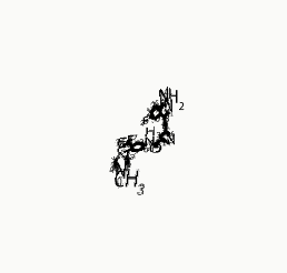 CN1CCN(Cc2ccc(NC(=O)c3cncc(C#Cc4cnc(N)c5ccc(F)cc45)c3)cc2C(F)(F)F)CC1